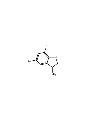 CC1CNc2c(F)cc(Br)cc21